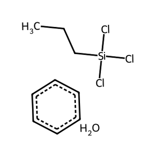 CCC[Si](Cl)(Cl)Cl.O.c1ccccc1